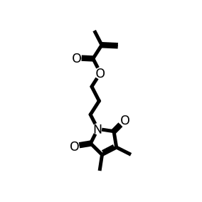 C=C(C)C(=O)OCCCN1C(=O)C(C)=C(C)C1=O